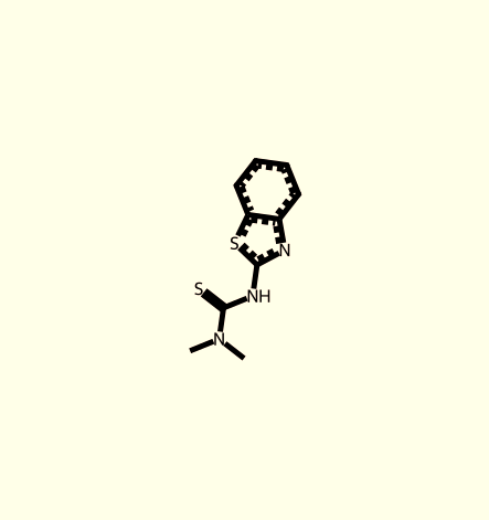 CN(C)C(=S)Nc1nc2ccccc2s1